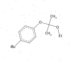 CCOC(C)(C)Oc1ccc(C(C)CC)cc1